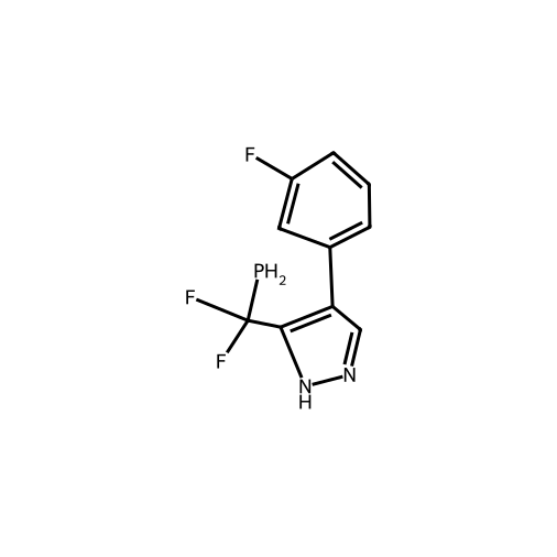 Fc1cccc(-c2cn[nH]c2C(F)(F)P)c1